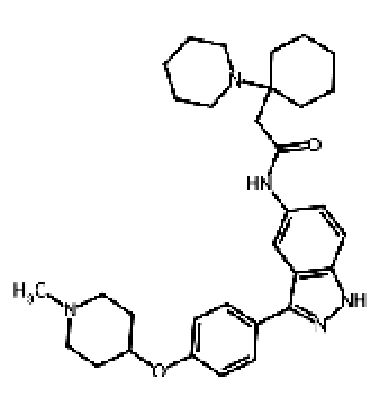 CN1CCC(Oc2ccc(-c3n[nH]c4ccc(NC(=O)CC5(N6CCCCC6)CCCCC5)cc34)cc2)CC1